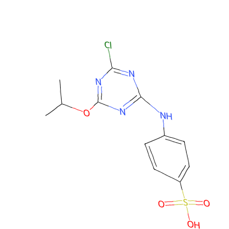 CC(C)Oc1nc(Cl)nc(Nc2ccc(S(=O)(=O)O)cc2)n1